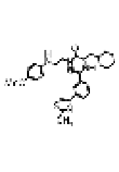 COc1ccc(NCCNC(=O)C(CC2CCCCC2)NC(=O)c2cccc(-c3csc(C)n3)c2)cc1